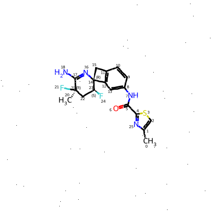 Cc1csc(C(=O)Nc2ccc3c(c2)[C@@]2(C3)N=C(N)[C@](C)(F)C[C@@H]2F)n1